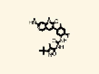 CNc1cc2c(cn1)cc(-c1cc(NC(=O)Nc3onc(C(C)(C)C)c3C)c(F)cc1C)c(=O)n2C